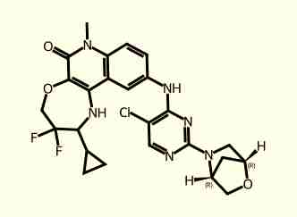 Cn1c(=O)c2c(c3cc(Nc4nc(N5C[C@H]6C[C@@H]5CO6)ncc4Cl)ccc31)NC(C1CC1)C(F)(F)CO2